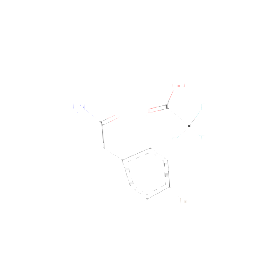 NC(=O)Cc1ccc(Br)cc1.O=C(O)C(F)(F)F